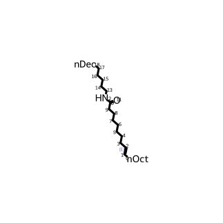 CCCCCCCC/C=C/CCCCCCCC(=O)NCCCCCCCCCCCCCCC